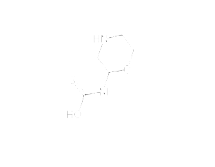 OC(=S)NC1CNCCO1